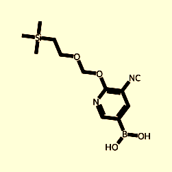 [C-]#[N+]c1cc(B(O)O)cnc1OCOCC[Si](C)(C)C